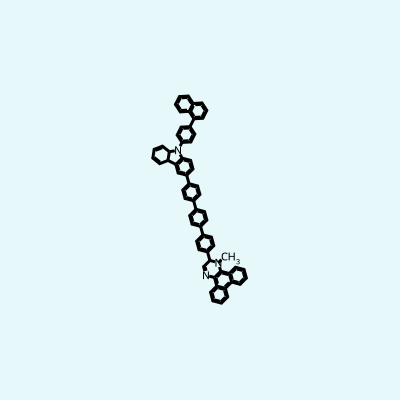 CN1c2c(c3ccccc3c3ccccc23)N=CC1c1ccc(-c2ccc(-c3ccc(-c4ccc5c(c4)C4C=CC=CC4N5c4ccc(-c5cccc6ccccc56)cc4)cc3)cc2)cc1